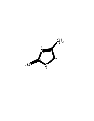 CC1=NC(=O)SC1